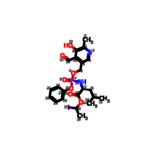 Cc1ncc(COP(=O)(N[C@@H](CC(C)C)C(=O)OC(C)I)Oc2ccccc2)c(C=O)c1O